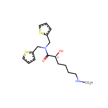 O=C(O)NCCCC[C@H](O)C(=O)N(Cc1cccs1)Cc1cccs1